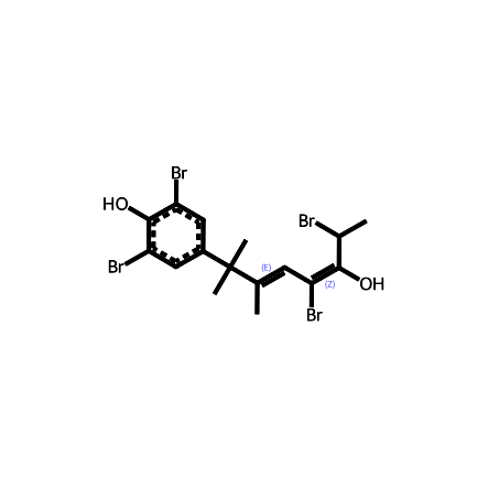 C/C(=C\C(Br)=C(\O)C(C)Br)C(C)(C)c1cc(Br)c(O)c(Br)c1